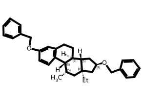 CC[C@@]12C[C@H](OCc3ccccc3)C[C@H]1[C@@H]1CCc3cc(OCc4ccccc4)ccc3[C@H]1[C@@H](C)C2